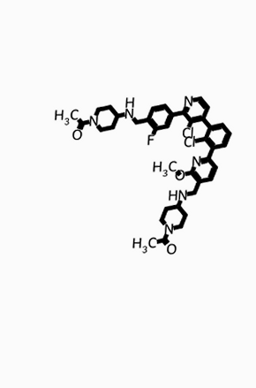 COc1nc(-c2cccc(-c3ccnc(-c4ccc(CNC5CCN(C(C)=O)CC5)c(F)c4)c3Cl)c2Cl)ccc1CNC1CCN(C(C)=O)CC1